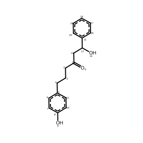 O=C(CCCc1ccc(O)cc1)CC(O)c1ccccc1